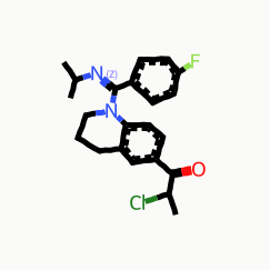 CC(C)/N=C(/c1ccc(F)cc1)N1CCCc2cc(C(=O)C(C)Cl)ccc21